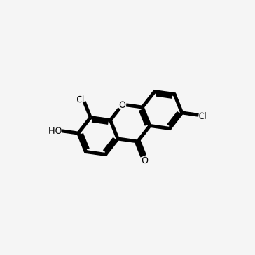 O=c1c2cc(Cl)ccc2oc2c(Cl)c(O)ccc12